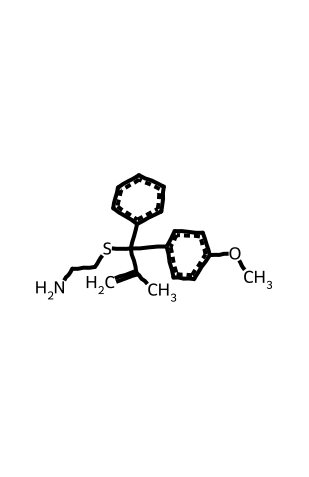 C=C(C)C(SCCN)(c1ccccc1)c1ccc(OC)cc1